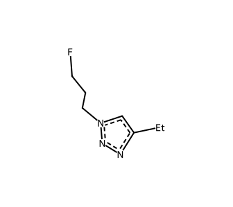 CCc1cn(CCCF)nn1